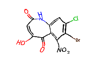 O=c1cc(O)c(=O)c2c([N+](=O)[O-])c(Br)c(Cl)cc2[nH]1